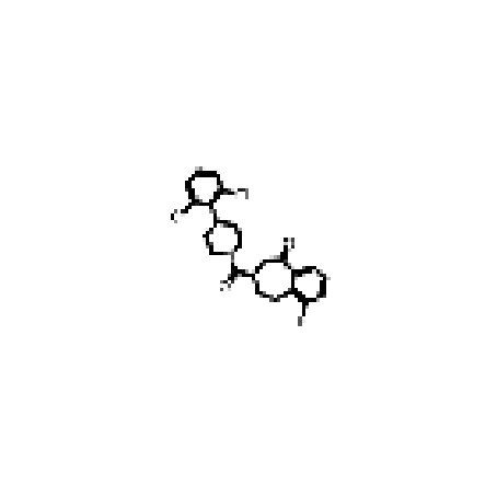 O=C1CC(C(=O)N2CCC(c3c(Cl)cccc3Cl)CC2)CCc2c(F)cccc21